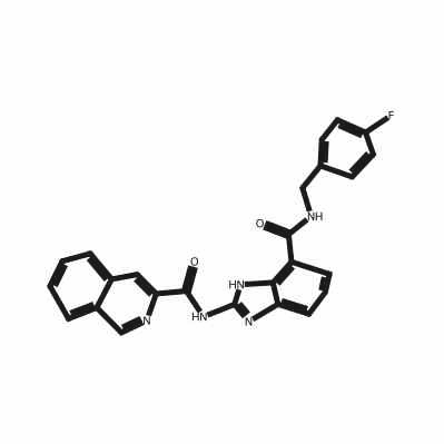 O=C(Nc1nc2cccc(C(=O)NCc3ccc(F)cc3)c2[nH]1)c1cc2ccccc2cn1